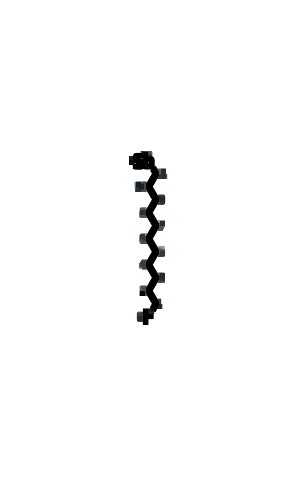 FCCCCCCCCCC[CH2][Sb]